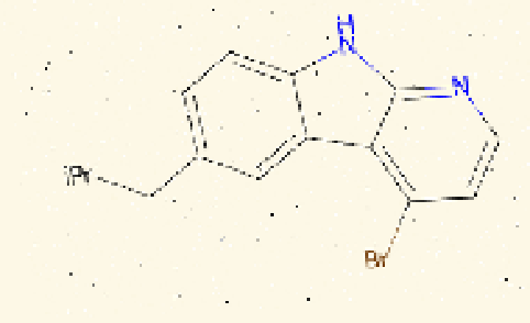 CC(C)Cc1ccc2[nH]c3nccc(Br)c3c2c1